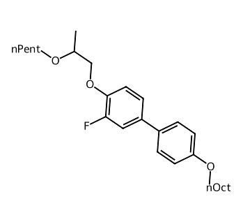 CCCCCCCCOc1ccc(-c2ccc(OCC(C)OCCCCC)c(F)c2)cc1